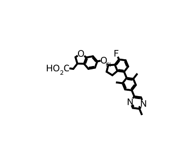 Cc1cnc(-c2cc(C)c(-c3ccc(F)c4c3CC[C@H]4Oc3ccc4c(c3)OCC4CC(=O)O)c(C)c2)cn1